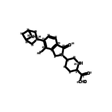 O=CC(=O)C1CCC(N2Cc3c(ccc(N4CC5CC(C4)N5)c3F)C2=O)CN1